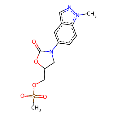 Cn1ncc2cc(N3CC(COS(C)(=O)=O)OC3=O)ccc21